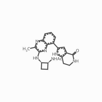 CC(=O)N[C@H]1CC[C@H]1Nc1nc2c(-c3cc4c([nH]3)CCNC4=O)cccc2nc1C